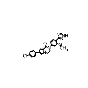 COc1cc(N2CCn3cc(-c4ccc(Cl)cc4)cc3C2=O)ccc1-c1nc[nH]n1